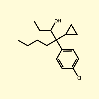 CCCCC(c1ccc(Cl)cc1)(C(O)CC)C1CC1